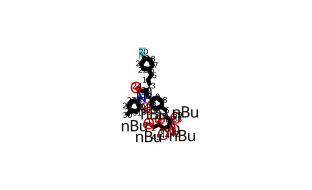 CCCCOCC1O[C@@H](Cc2ccc([C@@H]3[C@@H](CCCc4ccc(F)cc4)C(=O)N3c3ccc(C)cc3)c(OCCCC)c2)[C@@H](OCCCC)C(OCCCC)[C@@H]1OCCCC